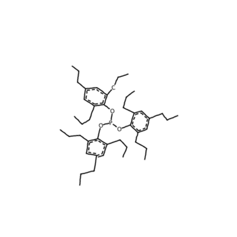 CCCc1cc(CCC)c(OP(Oc2c(CCC)cc(CCC)cc2CCC)Oc2c(CCC)cc(CCC)cc2CCC)c(CCC)c1